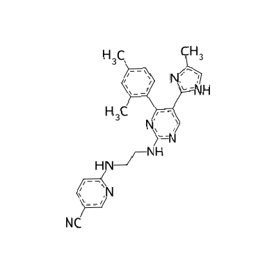 Cc1ccc(-c2nc(NCCNc3ccc(C#N)cn3)ncc2-c2nc(C)c[nH]2)c(C)c1